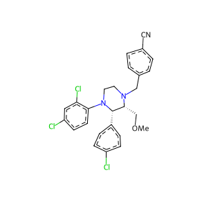 COC[C@@H]1[C@H](c2ccc(Cl)cc2)N(c2ccc(Cl)cc2Cl)CCN1Cc1ccc(C#N)cc1